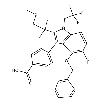 COCC(C)(C)c1c(-c2ccc(C(=O)O)cc2)c2c(OCc3ccccc3)c(F)ccc2n1CC(F)(F)F